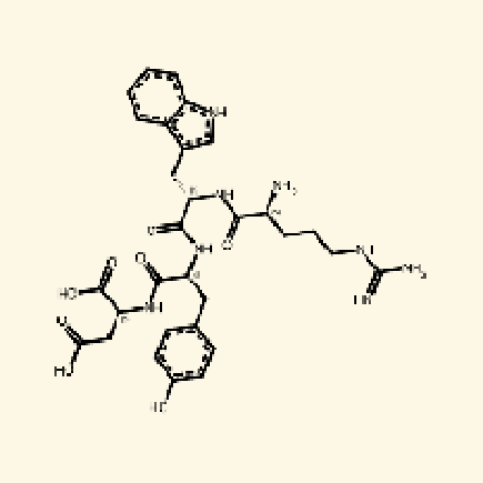 N=C(N)NCCC[C@H](N)C(=O)N[C@@H](Cc1c[nH]c2ccccc12)C(=O)N[C@@H](Cc1ccc(O)cc1)C(=O)N[C@@H](CC(=O)O)C(=O)O